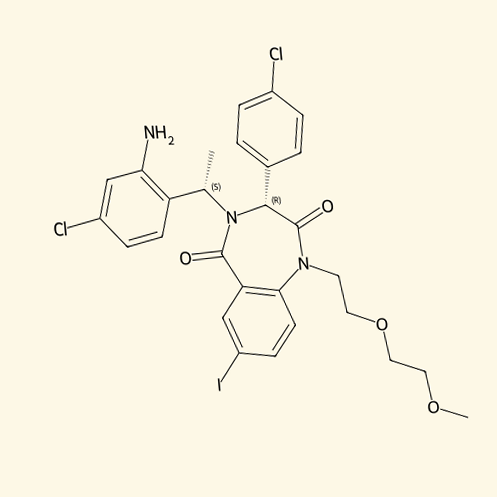 COCCOCCN1C(=O)[C@@H](c2ccc(Cl)cc2)N([C@@H](C)c2ccc(Cl)cc2N)C(=O)c2cc(I)ccc21